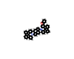 c1ccc(C2(c3ccccc3)c3ccccc3N(c3ccc4ccc5c(N6c7ccccc7C(c7ccccc7)(c7ccccc7)c7cc8c(cc76)oc6ccccc68)ccc6ccc3c4c65)c3ccccc32)cc1